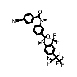 CN(C(=O)c1ccc(C#N)cc1)c1cccc(C(=O)N(I)c2ccc(C(F)(C(F)(F)F)C(F)(F)F)cc2C(F)(F)F)c1